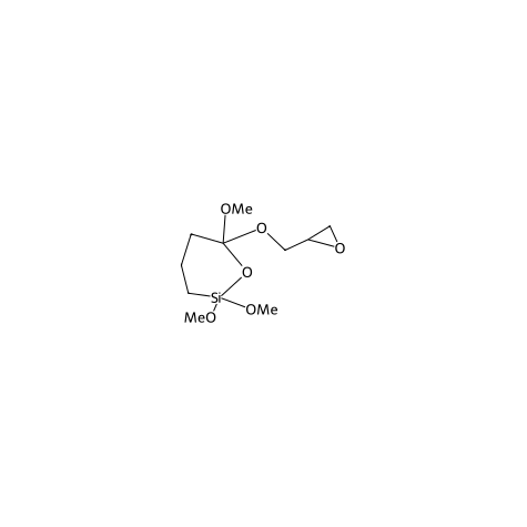 COC1(OCC2CO2)CCC[Si](OC)(OC)O1